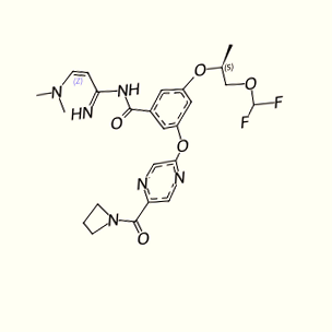 C[C@@H](COC(F)F)Oc1cc(Oc2cnc(C(=O)N3CCC3)cn2)cc(C(=O)NC(=N)/C=C\N(C)C)c1